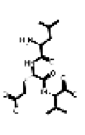 CC(C)C[C@H](N)C(=O)N[C@@H](CCC(=O)O)C(=O)N[C@H](C(=O)O)C(C)C